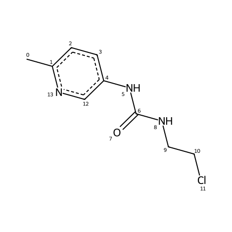 Cc1ccc(NC(=O)NCCCl)cn1